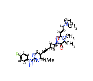 CNc1nc(Nc2ccc(F)cc2)ncc1C#CC1CC(NC(=O)C(C)N(C)C(=O)/C=C/CN(C)C)C1